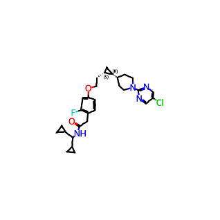 O=C(Cc1ccc(OCC[C@@H]2C[C@@H]2C2CCN(c3ncc(Cl)cn3)CC2)cc1F)NC(C1CC1)C1CC1